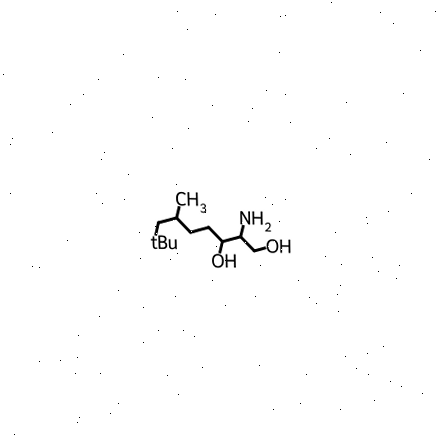 CC(CCC(O)C(N)CO)CC(C)(C)C